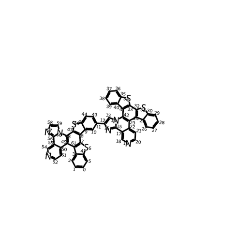 c1ccc2c(c1)sc1c3c4cc(-c5cn6c(n5)c5cnccc5c5c7c8ccccc8sc7c7sc8ccccc8c7c56)ccc4sc3c3c(c4ccncc4c4nccn43)c21